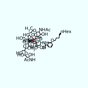 CCCCCCC#CCCCOc1cccc(C(=O)N[C@@H]2C(O[C@H]3C(O)C(NC(C)=O)[C@H](OC(C)C(CO)O[C@@H](O[C@H]4C(O)C(NC(C)=O)C(OC(C)C(CO)OC(O)[C@H](CO)NC(C)=O)O[C@H]4CO)[C@H](CO)NC(C)=O)O[C@H]3CO)OC(CO)[C@@H](O)[C@@H]2O)c1